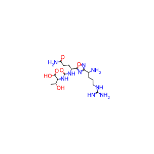 CC(O)[C@H](NC(=O)N[C@@H](CCC(N)=O)c1nc(C(N)CCCNC(=N)N)no1)C(=O)O